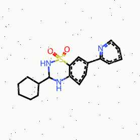 O=S1(=O)NC(C2CCCCC2)Nc2ccc(-c3ccccn3)cc21